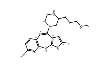 COCCC[C@H]1CN(C2=Nc3ccc(F)cc3Nc3sc(C)cc32)CCN1